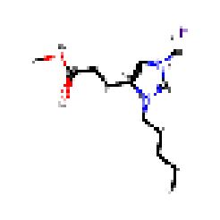 CCCCC[n+]1cn(C)cc1CCC(=O)OC.[I-]